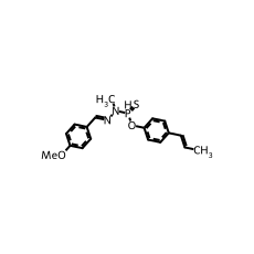 C/C=C/c1ccc(O[PH](=S)N(C)/N=C/c2ccc(OC)cc2)cc1